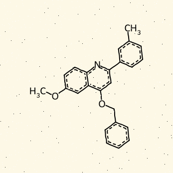 COc1ccc2nc(-c3cccc(C)c3)cc(OCc3ccccc3)c2c1